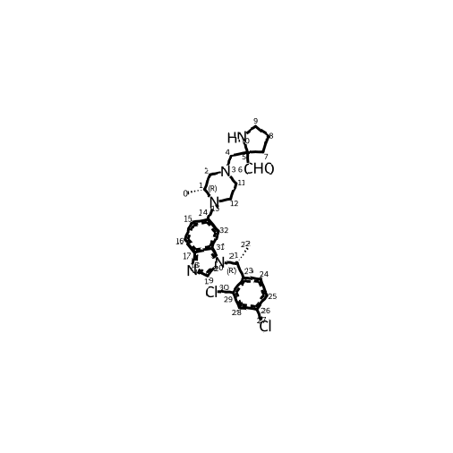 C[C@@H]1CN(CC2(C=O)CCCN2)CCN1c1ccc2ncn([C@H](C)c3ccc(Cl)cc3Cl)c2c1